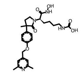 Cc1cc(COc2ccc(C3(C)CCN([C@H](CCCCNC(=O)O)C(=O)NO)C3=O)cc2)cc(C)n1